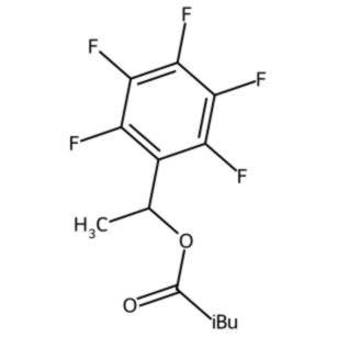 CCC(C)C(=O)OC(C)c1c(F)c(F)c(F)c(F)c1F